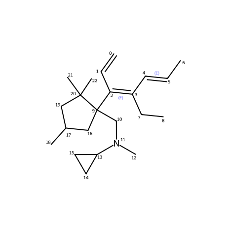 C=C/C(=C(\C=C\C)CC)C1(CN(C)C2CC2)CC(C)CC1(C)C